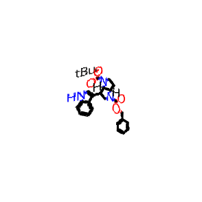 CC(C)(C)OC(=O)N1CC[C@@H]2[C@H]1C(c1c[nH]c3ccccc13)CN2C(=O)OCc1ccccc1